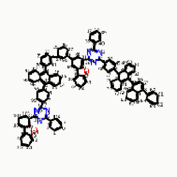 c1ccc(-c2nc(-c3ccc(-c4c5ccccc5c(-c5cccc(-c6cccc(-c7cc(-c8nc(-c9ccccc9)nc(-c9ccc(-c%10c%11ccccc%11c(-c%11ccc(-c%12ccccc%12)c%12ccccc%11%12)c%11ccccc%10%11)cc9)n8)c8oc9ccccc9c8c7)c6)c5)c5ccccc45)cc3)nc(-c3cccc4c3oc3ccccc34)n2)cc1